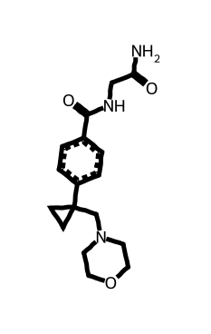 NC(=O)CNC(=O)c1ccc(C2(CN3CCOCC3)CC2)cc1